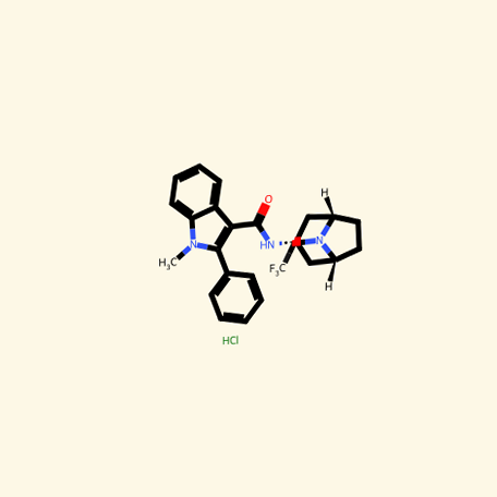 Cl.Cn1c(-c2ccccc2)c(C(=O)N[C@H]2C[C@H]3CC[C@@H](C2)N3CC(F)(F)F)c2ccccc21